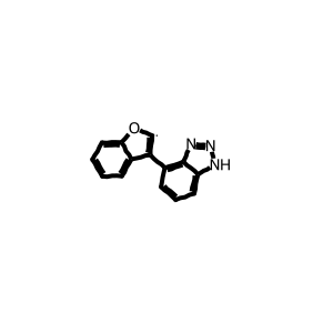 [c]1oc2ccccc2c1-c1cccc2[nH]nnc12